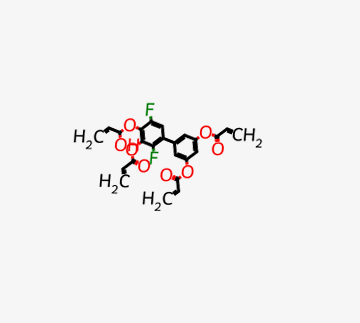 C=CC(=O)Oc1cc(OC(=O)C=C)cc(-c2cc(F)c(OC(O)C=C)c(OC(=O)C=C)c2F)c1